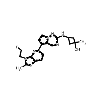 Cc1nc2ccc(-c3ccn4nc(NC5CC(C)(O)C5)ncc34)nc2n1CCF